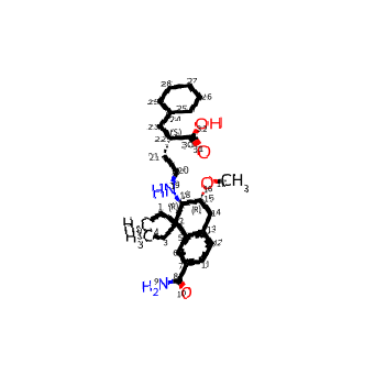 CCC1(CC)c2cc(C(N)=O)ccc2C[C@@H](OC)[C@@H]1NCC[C@H](CC1CCCCC1)C(=O)O